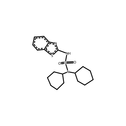 O=S(=O)(Nc1nc2ccccc2s1)N(C1CCCCC1)C1CCCCC1